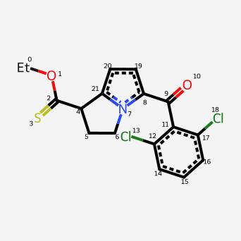 CCOC(=S)C1CCn2c(C(=O)c3c(Cl)cccc3Cl)ccc21